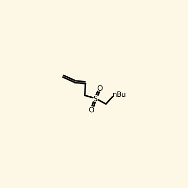 C=C=CCS(=O)(=O)CCCCC